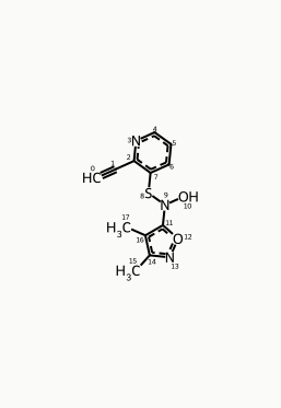 C#Cc1ncccc1SN(O)c1onc(C)c1C